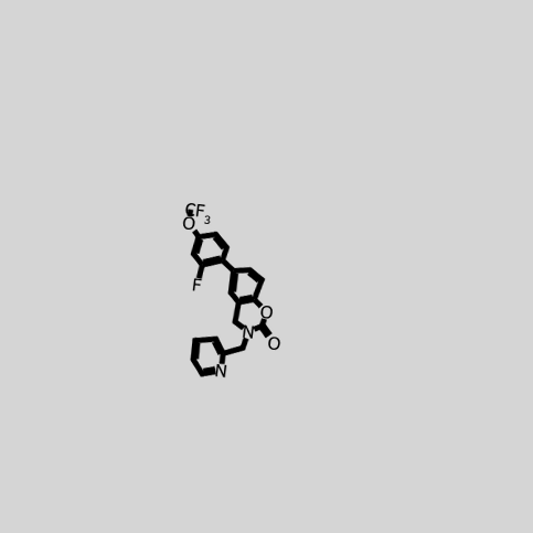 O=C1Oc2ccc(-c3ccc(OC(F)(F)F)cc3F)cc2CN1Cc1ccccn1